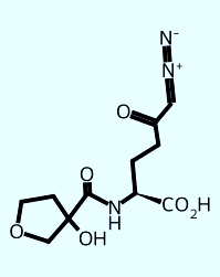 [N-]=[N+]=CC(=O)CC[C@H](NC(=O)C1(O)CCOC1)C(=O)O